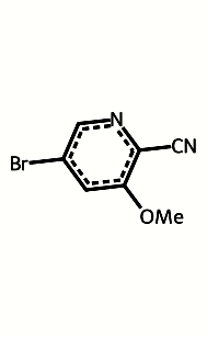 COc1cc(Br)cnc1C#N